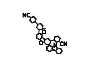 CC12C=CC(c3ccc(C#N)cc3)CC1c1ccc3oc4c(c3c1O2)C=C(c1cccc(C#N)c1-n1c2ccccc2c2ccccc21)CC4